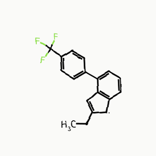 CCC1=Cc2c(cccc2-c2ccc(C(F)(F)F)cc2)[CH]1